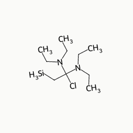 CCN(CC)C(Cl)(C[SiH3])N(CC)CC